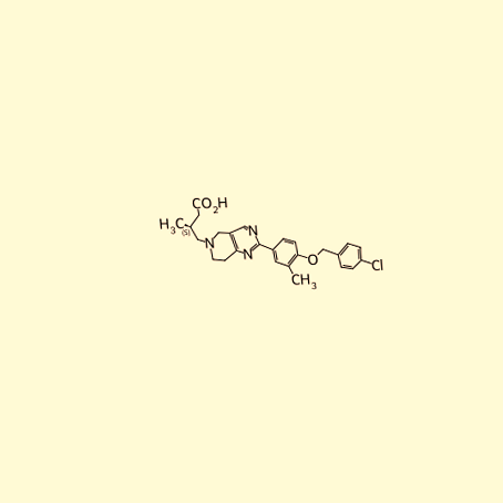 Cc1cc(-c2ncc3c(n2)CCN(C[C@@H](C)CC(=O)O)C3)ccc1OCc1ccc(Cl)cc1